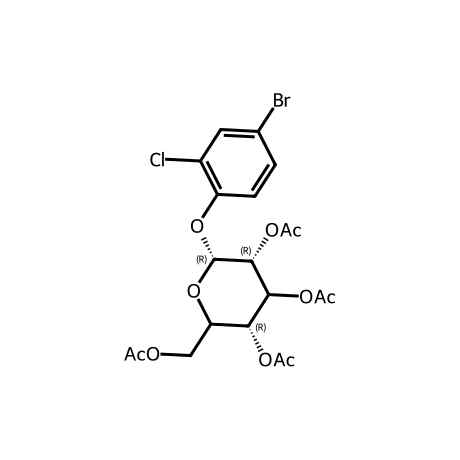 CC(=O)OCC1O[C@H](Oc2ccc(Br)cc2Cl)[C@H](OC(C)=O)C(OC(C)=O)[C@@H]1OC(C)=O